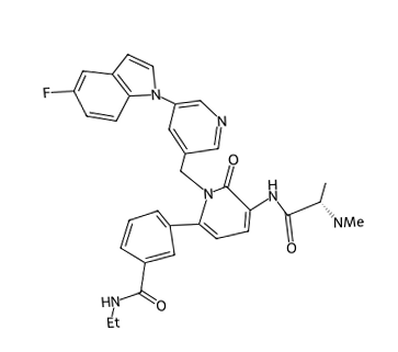 CCNC(=O)c1cccc(-c2ccc(NC(=O)[C@H](C)NC)c(=O)n2Cc2cncc(-n3ccc4cc(F)ccc43)c2)c1